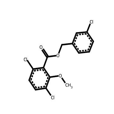 COc1c(Cl)ccc(Cl)c1C(=O)OCc1cccc(Cl)c1